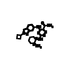 NC(=O)c1nnc(N[C@@H]2CCCC[C@@H]2N)nc1Nc1ccc2cn(C3CCC3)nc2c1